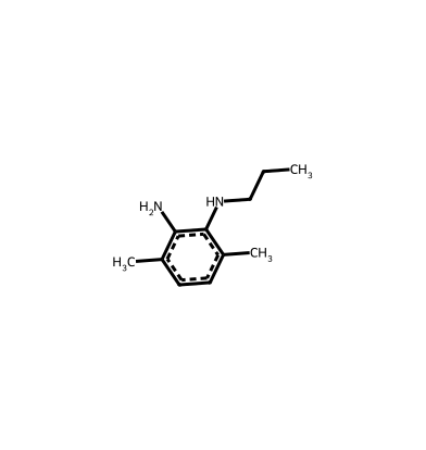 CCCNc1c(C)ccc(C)c1N